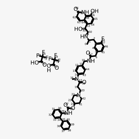 CC(Cc1cc(CC(=O)NCc2ccc(N(C)C(=O)CCN3CCC(OC(=O)Nc4ccccc4-c4ccccc4)CC3)cc2)ccc1F)NC[C@H](O)c1ccc(O)c2[nH]c(=O)ccc12.O=C(O)C(F)(F)F.O=C(O)C(F)(F)F